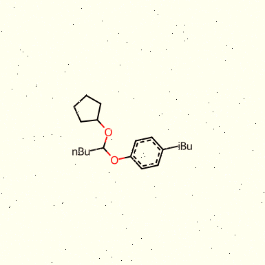 CCCCC(Oc1ccc(C(C)CC)cc1)OC1CCCC1